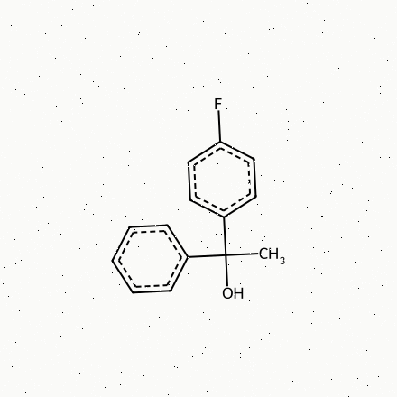 CC(O)(c1ccccc1)c1ccc(F)cc1